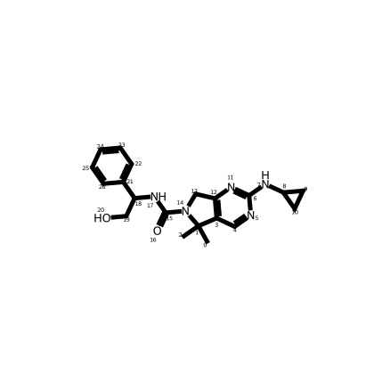 CC1(C)c2cnc(NC3CC3)nc2CN1C(=O)NC(CO)c1ccccc1